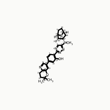 CN(c1cnc(-c2ccc(-c3cnc4c(c3)OC(C)(C)CC4)cc2O)nn1)[C@H]1C[C@@H]2CC[C@@H](N2)[C@H]1F